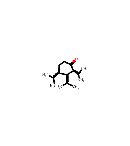 CC(C)=C1CCC(=O)C(=C(C)C)C1=C(C)C